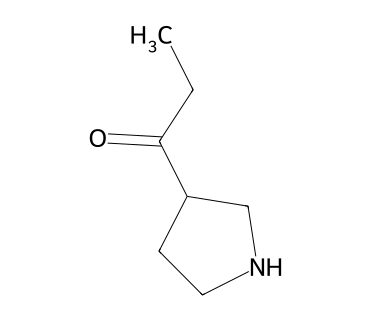 CCC(=O)C1CCNC1